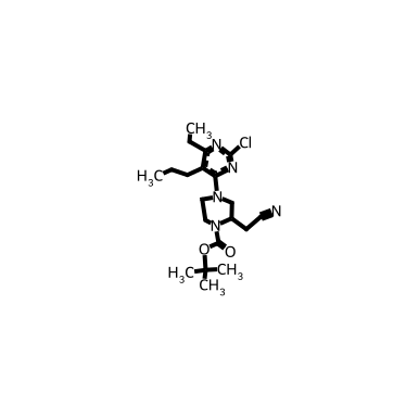 CCCc1c(CC)nc(Cl)nc1N1CCN(C(=O)OC(C)(C)C)C(CC#N)C1